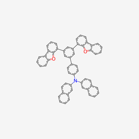 c1ccc2cc(N(c3ccc(-c4cc(-c5cccc6c5oc5ccccc56)cc(-c5cccc6c5oc5ccccc56)c4)cc3)c3ccc4ccccc4c3)ccc2c1